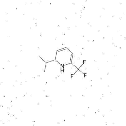 CC(C)C1C=CC=C(C(F)(F)F)N1